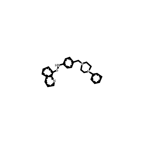 c1ccc(N2CCN(Cc3ccc(NSc4cccc5cccnc45)cc3)CC2)cc1